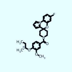 CC[C@@H](C)Oc1ccc(C(=O)N2CCC3(CC2)Oc2cc(F)ccc2-n2cccc23)cc1OC